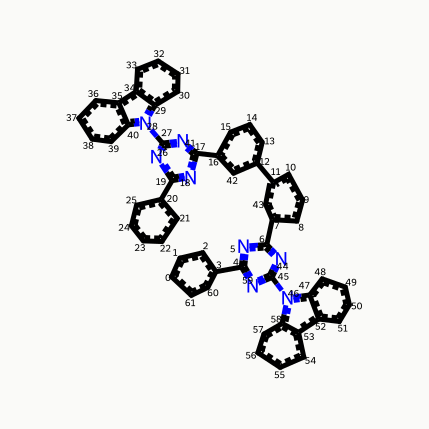 c1ccc(-c2nc(-c3cccc(-c4cccc(-c5nc(-c6ccccc6)nc(-n6c7ccccc7c7ccccc76)n5)c4)c3)nc(-n3c4ccccc4c4ccccc43)n2)cc1